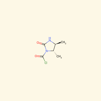 C[C@@H]1NC(=O)N(C(=O)Cl)[C@H]1C